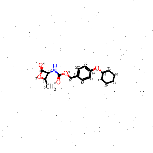 CC1OC(=O)C1NC(=O)OCc1ccc(OC2CCCCC2)cc1